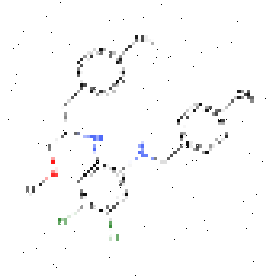 COCC(Cc1ccc(C)cc1)Nc1cc(Cl)c(Cl)cc1NCc1ccc(C)cc1